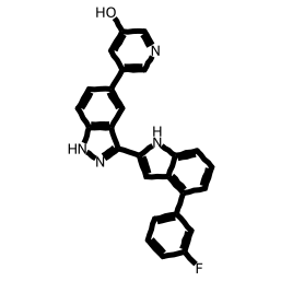 Oc1cncc(-c2ccc3[nH]nc(-c4cc5c(-c6cccc(F)c6)cccc5[nH]4)c3c2)c1